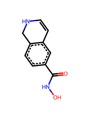 O=C(NO)c1ccc2c(c1)C=CNC2